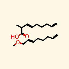 C=CCCCC=CC(C)C(=O)O.C=CCCCC=CCOC